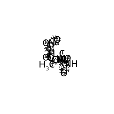 CCn1nc(CC(C)(C)COC(=O)c2ccc(C(=O)N3CCOCC3)cc2)c2c1C(=O)NCC1(CCOCC1)C2